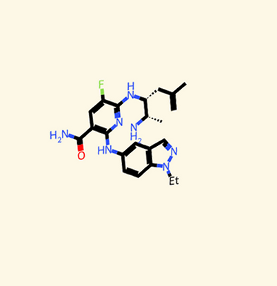 C=C(C)C[C@@H](Nc1nc(Nc2ccc3c(cnn3CC)c2)c(C(N)=O)cc1F)[C@H](C)N